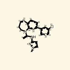 C=C(Nc1ccn(C)n1)N1CCC=Nc2ccc(-c3cccc(Cl)c3)nc21